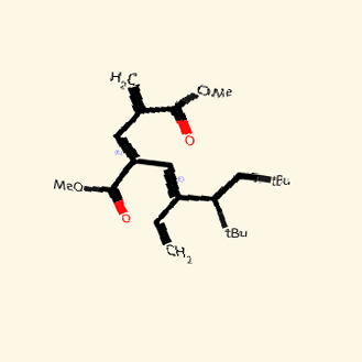 C=C/C(=C\C(=C/C(=C)C(=O)OC)C(=O)OC)C(CC(C)(C)C)C(C)(C)C